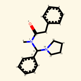 CN(C(=O)Cc1ccccc1)C(c1ccccc1)N1CCCC1